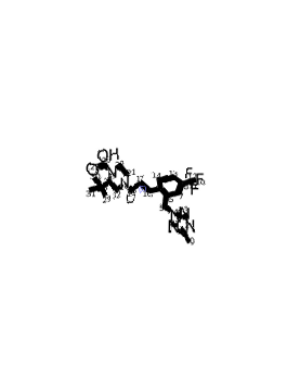 Cc1nnn(Cc2cc(C(F)(F)F)ccc2/C=C/C(=O)N2CCN(C(=O)O)C(C(C)(C)C)C2)n1